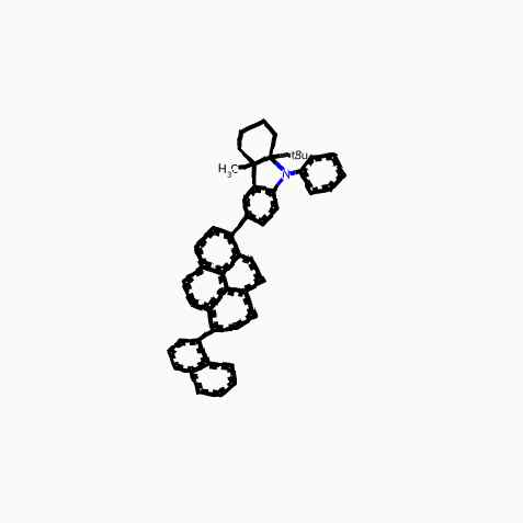 CC(C)(C)C12CCCCC1(C)c1cc(-c3ccc4ccc5c(-c6cccc7ccccc67)ccc6ccc3c4c65)ccc1N2c1ccccc1